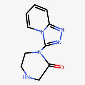 O=C1CNCCN1c1nnc2ccccn12